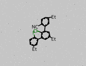 CCc1ccc(F)c(-c2cc(CC)cc(-c3cc(CC)ccc3C#N)c2Cl)c1